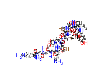 CSCC[C@H](NC(=O)[C@H](Cc1ccc(O)cc1)NC(=O)[C@H](CS)NC(=O)[C@H](CCCCN)NC(=O)CNC(=O)CNC(=O)CNC(=O)[C@@H](N)CCCCN)C(=O)N[C@@H](CS)C(=O)N[C@H](CO)C(=O)N[C@H](C(=O)N[C@@H](Cc1ccc(O)cc1)C(=O)O)C(C)C